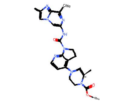 COc1nc(NC(=O)N2CCc3c(N4CCN(C(=O)OC(C)(C)C)[C@H](C)C4)ccnc32)cn2cc(C)nc12